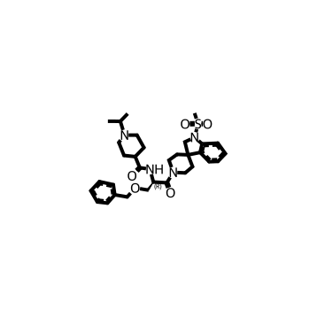 CC(C)N1CCC(C(=O)N[C@H](COCc2ccccc2)C(=O)N2CCC3(CC2)CN(S(C)(=O)=O)c2ccccc23)CC1